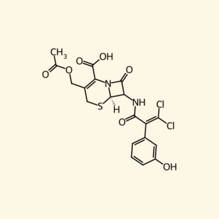 CC(=O)OCC1=C(C(=O)O)N2C(=O)C(NC(=O)C(=C(Cl)Cl)c3cccc(O)c3)[C@H]2SC1